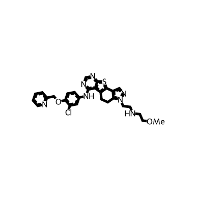 COCCNCCn1ncc2c1CCc1c-2sc2ncnc(Nc3ccc(OCc4ccccn4)c(Cl)c3)c12